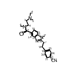 CN(C)CCN(C)C(=O)c1ccc2c(c1)nc(CCc1ccc(C#N)cc1)n2C